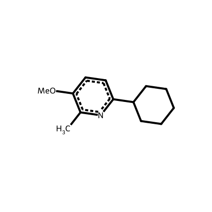 COc1ccc(C2CCCCC2)nc1C